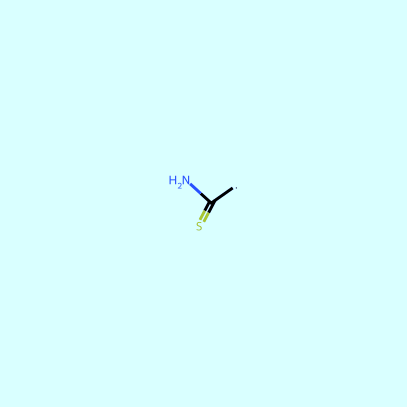 [CH2]C(N)=S